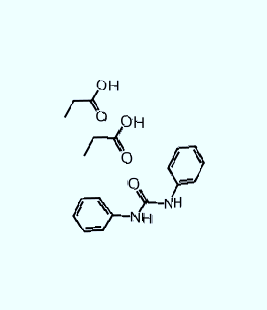 CCC(=O)O.CCC(=O)O.O=C(Nc1ccccc1)Nc1ccccc1